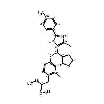 CCOC(Cc1ccc(OC(c2sc(-c3ccc(C(F)(F)F)cc3)nc2C)C2CCCC2)cc1C)C(=O)O